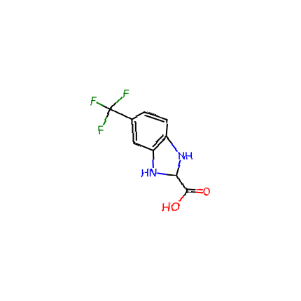 O=C(O)C1Nc2ccc(C(F)(F)F)cc2N1